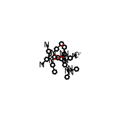 [C-]#[N+]c1ccc(-n2c3ccc(-c4cc5c6c(c4)N(c4ccc(-c7ccccc7)cc4)c4cc(C#N)ccc4B6c4ccc(C#N)cc4N5c4ccc(-c5ccccc5)cc4)cc3c3ccc(-c4nc(-c5ccccc5)nc(-c5ccccc5)n4)cc32)c(-c2nc(-c3ccccc3)nc(-c3ccccc3)n2)c1